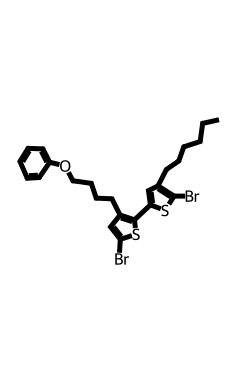 CCCCCCc1cc(-c2sc(Br)cc2CCCCOc2ccccc2)sc1Br